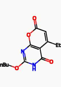 CCCCOc1nc2oc(=O)cc(CC)c2c(=O)[nH]1